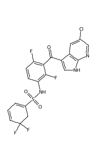 O=C(c1c(F)ccc(NS(=O)(=O)C2=CC=CC(F)(F)C2)c1F)c1c[nH]c2ncc(Cl)cc12